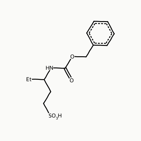 CCC(CCS(=O)(=O)O)NC(=O)OCc1ccccc1